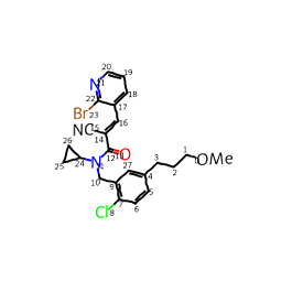 COCCCc1ccc(Cl)c(CN(C(=O)/C(C#N)=C/c2cccnc2Br)C2CC2)c1